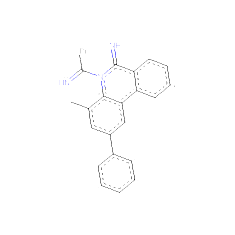 Cc1cc(-c2ccccc2)cc2c3ccccc3c(=N)n(C(=N)C(C)C)c12